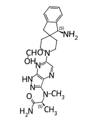 C[C@@H](C(N)=O)N(C)c1n[nH]c2nc(N3CCC4(CC3)Cc3ccccc3[C@H]4N)cnc12.O=CO